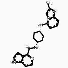 O=C(N[C@H]1CC[C@@H](Nc2cccc3nc(C(F)(F)F)cn23)CC1)c1nccc2[nH]ccc12